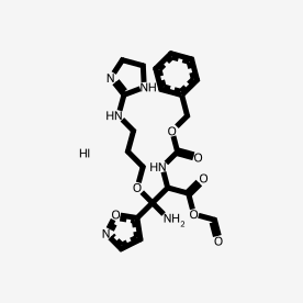 I.NC(OCCCNC1=NCCN1)(c1ccno1)C(NC(=O)OCc1ccccc1)C(=O)OC=O